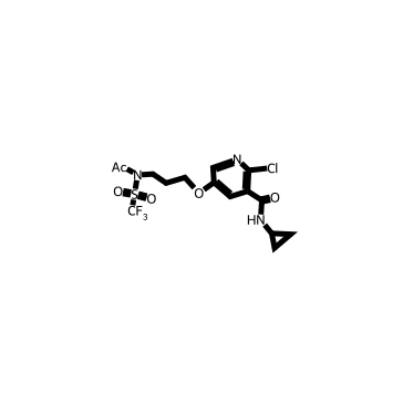 CC(=O)N(CCCOc1cnc(Cl)c(C(=O)NC2CC2)c1)S(=O)(=O)C(F)(F)F